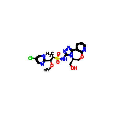 CCCO[C@@H](c1ncc(Cl)cn1)[C@H](C)S(=O)(=O)Nc1nnc2n1[C@H](CO)COc1ncccc1-2